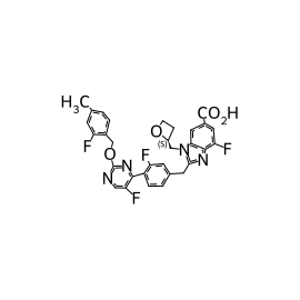 Cc1ccc(COc2ncc(F)c(-c3ccc(Cc4nc5c(F)cc(C(=O)O)cc5n4C[C@@H]4CCO4)cc3F)n2)c(F)c1